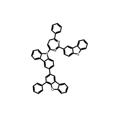 C1=C(n2c3ccccc3c3cc(-c4cc(-c5ccccc5)c5oc6ccccc6c5c4)ccc32)N=C(c2ccc3sc4ccccc4c3c2)N=C(c2ccccc2)C1